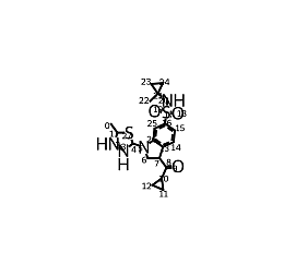 CC1NNC(N2CC(C(=O)C3CC3)c3ccc(S(=O)(=O)NC4(C)CC4)cc32)S1